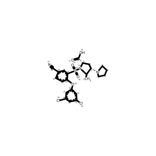 CC1[C@@H](N2CCCC2)C[C@@H](C(=O)O)N1S(=O)(=O)c1cc(C#N)ccc1Oc1cc(Cl)cc(Cl)c1